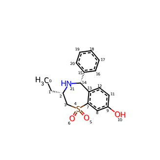 CC[C@H]1CS(=O)(=O)c2cc(O)ccc2[C@@H](c2ccccc2)N1